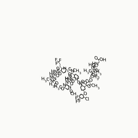 CCOC(=O)C(C)OC(=O)c1cc(Oc2ccc(C(F)(F)F)cc2Cl)ccc1[N+](=O)[O-].COc1cc(OC)nc(NC(=O)NS(=O)(=O)c2ncccc2C(=O)N(C)C)n1.COc1nc(C)nc(NC(=O)NS(=O)(=O)c2ccccc2CCC(F)(F)F)n1.C[S+](C)C.O=C(O)CNCP(=O)([O-])O